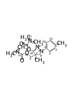 Cc1ccc(N2CC(C)(COC(=O)N(C)C)C(OC(=O)N(C)C)=N2)cc1